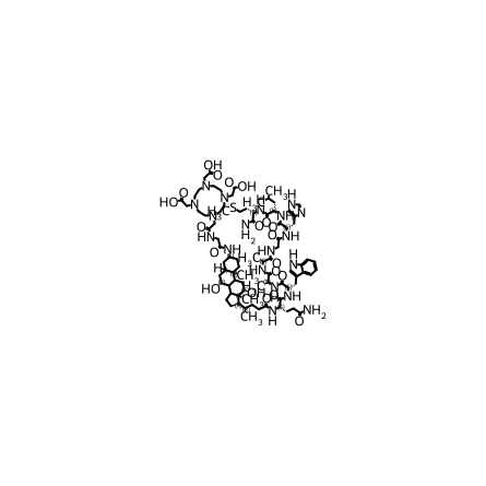 CSCC[C@H](NC(=O)[C@H](CC(C)C)NC(=O)[C@H](Cc1c[nH]cn1)NC(=O)CNC(=O)[C@H](C)NC(=O)[C@H](C)NC(=O)[C@H](Cc1c[nH]c2ccccc12)NC(=O)[C@H](CCC(N)=O)NC(=O)CC[C@@H](C)[C@H]1CCC2C3C(C[C@H](O)[C@@]21C)[C@@]1(C)CC[C@H](NC(=O)CNC(=O)CN2CCN(CC(=O)O)CCN(CC(=O)O)CCN(CC(=O)O)CC2)C[C@H]1C[C@H]3O)C(N)=O